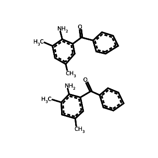 Cc1cc(C)c(N)c(C(=O)c2ccccc2)c1.Cc1cc(C)c(N)c(C(=O)c2ccccc2)c1